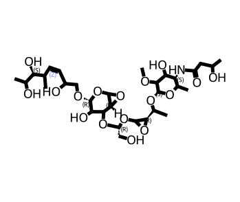 COC1C(O)[C@H](NC(=O)CC(C)O)C(C)O[C@H]1OC(C)[C@H]1OC1O[C@H](CO)OC1C(O)[C@H](OCC(O)/C=C\C(C)[C@H](O)C(C)O)OC2O[C@@H]21